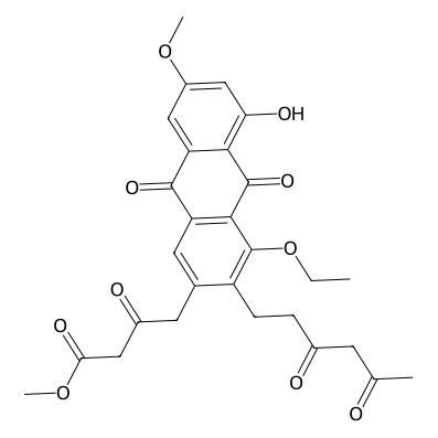 CCOc1c(CCC(=O)CC(C)=O)c(CC(=O)CC(=O)OC)cc2c1C(=O)c1c(O)cc(OC)cc1C2=O